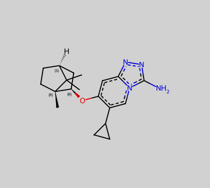 CC1(C)[C@H]2CC[C@@]1(C)[C@H](Oc1cc3nnc(N)n3cc1C1CC1)C2